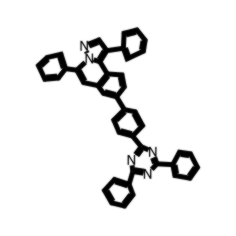 c1ccc(-c2nc(-c3ccccc3)nc(-c3ccc(-c4ccc5c(c4)cc(-c4ccccc4)n4ncc(-c6ccccc6)c54)cc3)n2)cc1